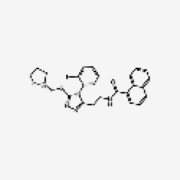 O=C(NCCc1nnc(SC[C@@H]2CCCO2)n1-c1ccccc1F)c1cccc2ccccc12